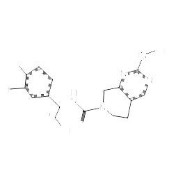 CC[C@@H](O)[C@@H](NC(=O)N1CCc2cnc(NC(C)C)nc2C1)c1ccc(F)c(Cl)c1